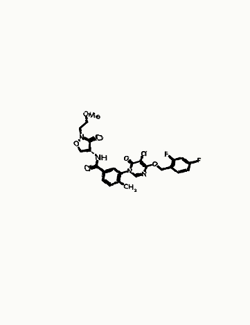 COCCN1OC[C@@H](NC(=O)c2ccc(C)c(-n3cnc(OCc4ccc(F)cc4F)c(Cl)c3=O)c2)C1=O